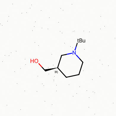 CC(C)(C)N1CCC[C@@H](CO)C1